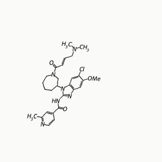 COc1cc2nc(NC(=O)c3ccnc(C)c3)n(C3CCCCN(C(=O)C=CCN(C)C)C3)c2cc1Cl